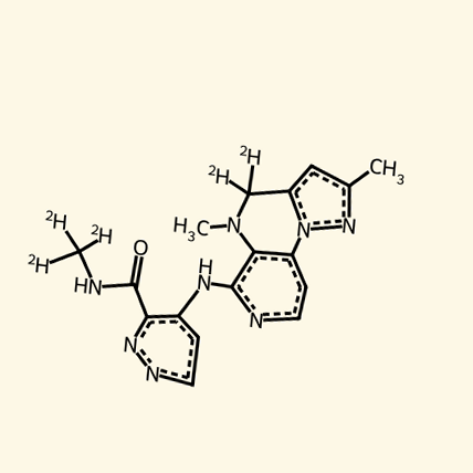 [2H]C([2H])([2H])NC(=O)c1nnccc1Nc1nccc2c1N(C)C([2H])([2H])c1cc(C)nn1-2